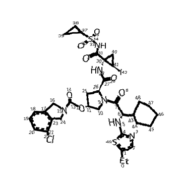 CCc1cnc(N[C@H](C(=O)N2C[C@H](OC(=O)N3Cc4cccc(Cl)c4C3)C[C@H]2C(=O)N[C@]2(C(=O)NS(=O)(=O)C3CC3)C[C@H]2I)C2CCCCC2)s1